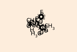 CCS(=O)(=O)Nc1ncc(Oc2ccc(F)cc2F)c(-c2cc(OC)c(=O)n(C)c2)n1